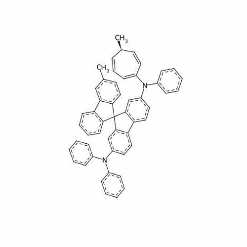 Cc1ccc2c(c1)-c1ccccc1C21c2cc(N(C3=CC=C[C@@H](C)C=C3)c3ccccc3)ccc2-c2ccc(N(c3ccccc3)c3ccccc3)cc21